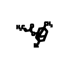 C=CC(=O)OC12CC3CC(C)(CC(CC)(C3)C1)C2